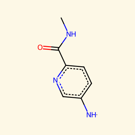 CNC(=O)c1ccc([NH])cn1